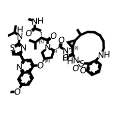 CNC(=O)C[C@H](C(=O)N1C[C@H](Oc2cc(-c3csc(NC(C)C)n3)nc3cc(OC)ccc23)C[C@H]1C(=O)N[C@]12CC1C(C)CCCCCNc1ccccc1S(=O)(=O)NC2=O)C(C)C